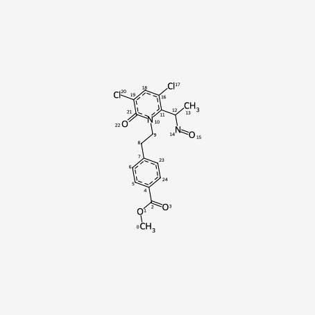 COC(=O)c1ccc(CCn2c(C(C)N=O)c(Cl)cc(Cl)c2=O)cc1